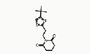 CC(C)(C)c1csc(CCN2C(=O)CCCC2=O)n1